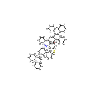 c1ccc(-c2c(-c3ccccc3)c3cc(-c4ccccc4N(c4ccc(-c5cc6ccccc6c6ccccc56)cc4)c4cccc5sc6ccccc6c45)ccc3c3ccccc23)cc1